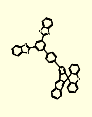 c1ccc2c(c1)Oc1ccccc1C21c2ccc(-c3ccc(-c4cc(-c5nc6ccccc6o5)cc(-c5nc6ccccc6o5)c4)cc3)cc2-c2cc3ccccc3cc21